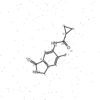 O=C1NCc2cc(F)c(NC(=O)C3CC3)cc21